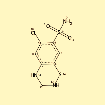 NS(=O)(=O)c1cc2c(cc1Cl)NCNS2